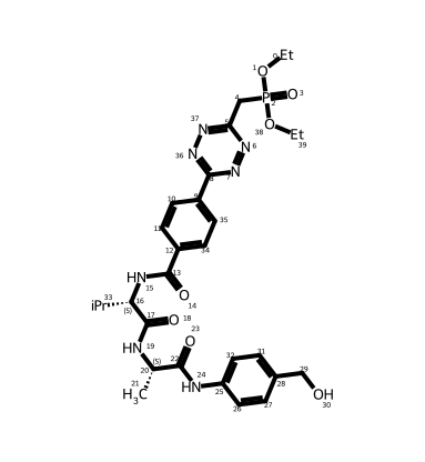 CCOP(=O)(Cc1nnc(-c2ccc(C(=O)N[C@H](C(=O)N[C@@H](C)C(=O)Nc3ccc(CO)cc3)C(C)C)cc2)nn1)OCC